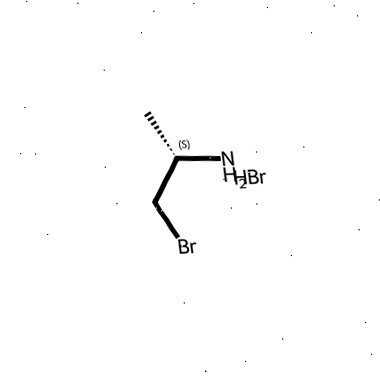 Br.C[C@H](N)CBr